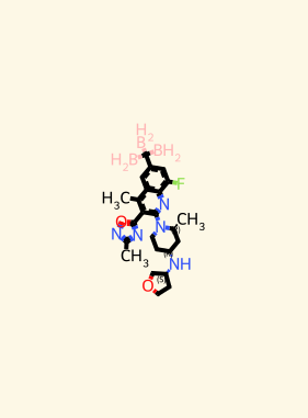 BC(B)(B)c1cc(F)c2nc(N3CC[C@@H](N[C@H]4CCOC4)C[C@H]3C)c(-c3nc(C)no3)c(C)c2c1